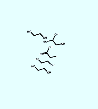 CC(C)(C)C(O)CO.CCC(=O)O.OCCO.OCCO.OCCO